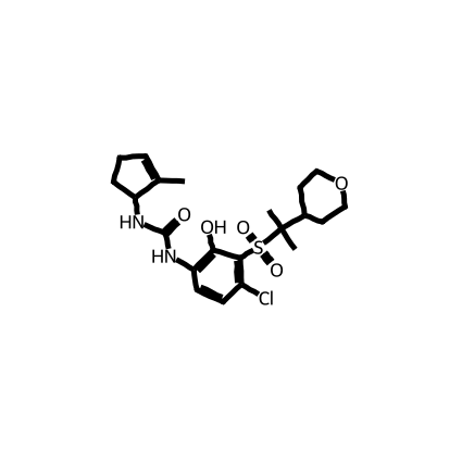 CC1=CCCC1NC(=O)Nc1ccc(Cl)c(S(=O)(=O)C(C)(C)C2CCOCC2)c1O